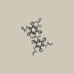 C=CCn1c(=O)n(CC=C)c(=O)n(CC(C)n2c(=O)n(CC=C)c(=O)n(CC=C)c2=O)c1=O